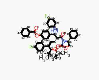 C[SiH](C)OC(C(=CC[C@@H](C(=O)N1C(=O)OC[C@@H]1c1ccccc1)[C@H](Nc1ccc(F)cc1)c1ccc(OC(=O)c2ccccc2)cc1)c1ccc(F)cc1)C(C)(C)C